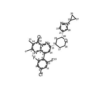 Cc1nc2c(-c3c(F)cc(Cl)cc3F)cc([C@H]3CCO[C@@H](c4cnn(C5CC5)c4)C3)nn2c(=O)c1C